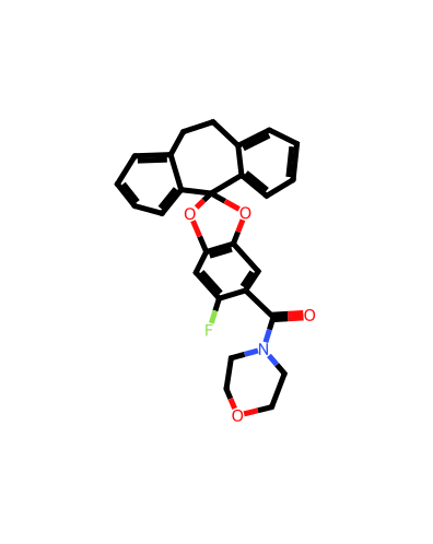 O=C(c1cc2c(cc1F)OC1(O2)c2ccccc2CCc2ccccc21)N1CCOCC1